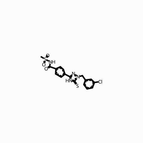 CS(=O)(=O)NC(=O)c1ccc(-c2nn(Cc3cccc(Cl)c3)c(=S)[nH]2)cc1